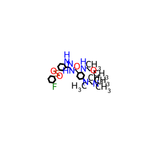 COC[C@H](C)Nc1cc(N(C)C(C)CN(C)C)ccc1C(=O)Nc1n[nH]c2ccc(S(=O)(=O)c3cccc(F)c3)cc12